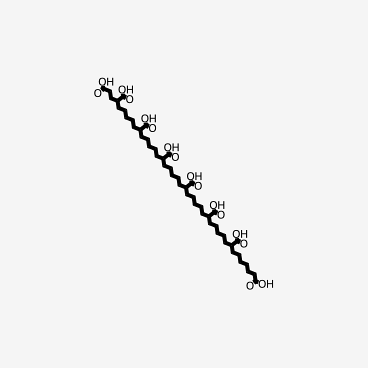 O=C(O)CCCCCCC(CCCCCC(CCCCCC(CCCCCC(CCCCCC(CCCCCC(CCC(=O)O)C(=O)O)C(=O)O)C(=O)O)C(=O)O)C(=O)O)C(=O)O